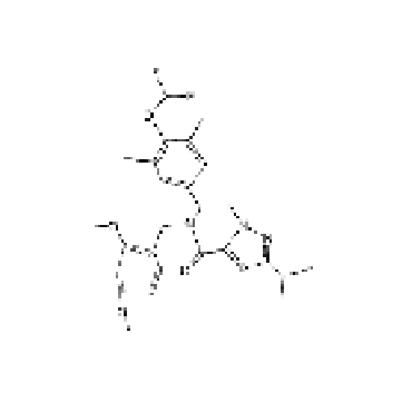 COc1ccc(CN(Cc2cc(C)c(OC(F)F)c(C)c2)C(=O)c2cc(C(C)C)nn2C)c(OC)c1